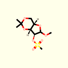 COC1O[C@H]2COC(C)(C)O[C@H]2[C@@H]1OS(C)(=O)=O